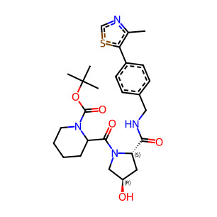 Cc1ncsc1-c1ccc(CNC(=O)[C@@H]2C[C@@H](O)CN2C(=O)C2CCCCN2C(=O)OC(C)(C)C)cc1